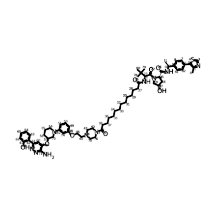 Cc1ncsc1-c1ccc([C@H](C)NC(=O)[C@@H]2C[C@@H](O)CN2C(=O)[C@@H](NC(=O)CCCCCCCCCCCCC(=O)N2CCN(CCOc3cccc(N4CCCC(Oc5cc(-c6ccccc6O)nnc5N)C4)c3)CC2)C(C)(C)C)cc1